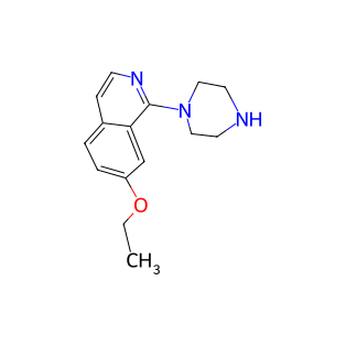 CCOc1ccc2ccnc(N3CCNCC3)c2c1